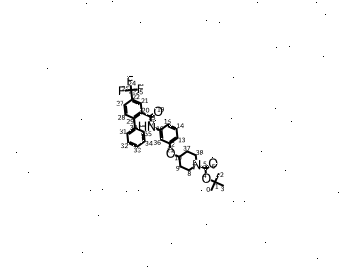 CC(C)(C)OC(=O)N1CCC(Oc2cccc(NC(=O)c3cc(C(F)(F)F)ccc3-c3ccccc3)c2)CC1